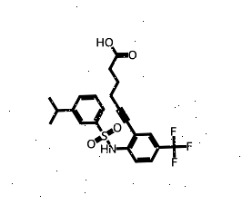 CC(C)c1cccc(S(=O)(=O)Nc2ccc(C(F)(F)F)cc2C#CCCCC(=O)O)c1